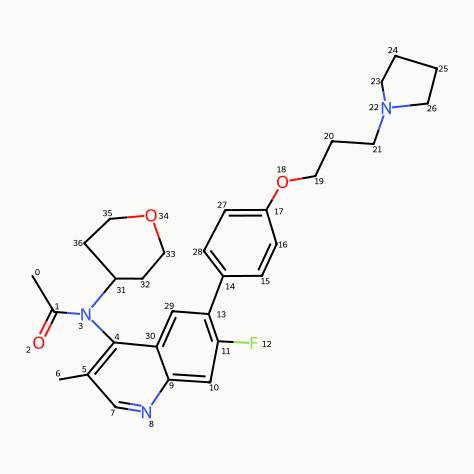 CC(=O)N(c1c(C)cnc2cc(F)c(-c3ccc(OCCCN4CCCC4)cc3)cc12)C1CCOCC1